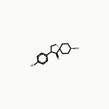 CCCc1ccc(C2CC[C@]3(CC[C@H](O)CC3)C2=O)cc1